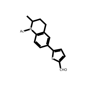 CC(=O)N1c2ccc(-c3ccc(C=O)s3)cc2CCC1C